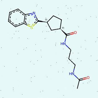 CC(=O)NCCCNC(=O)[C@@H]1CC[C@H](c2nc3ccccc3s2)C1